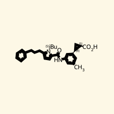 CC[C@H](C)n1c(CCCc2ccccc2)ccc1C(=O)Nc1cc(C)cc([C@@H]2C[C@@H]2C(=O)O)c1